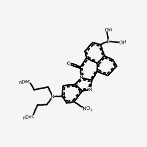 CCCCCCCCCCCCN(CCCCCCCCCCCC)c1cc([N+](=O)[O-])c2nc3c4cccc5c(B(O)O)ccc(c(=O)n3c2c1)c54